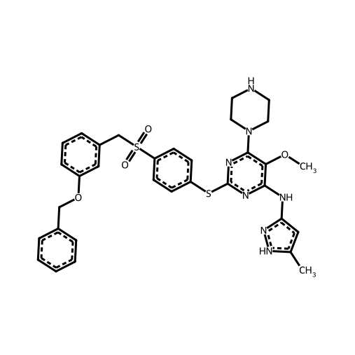 COc1c(Nc2cc(C)[nH]n2)nc(Sc2ccc(S(=O)(=O)Cc3cccc(OCc4ccccc4)c3)cc2)nc1N1CCNCC1